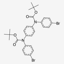 CC(C)(C)OC(=O)N(c1ccc(Br)cc1)c1ccc(N(C(=O)OC(C)(C)C)c2ccc(Br)cc2)cc1